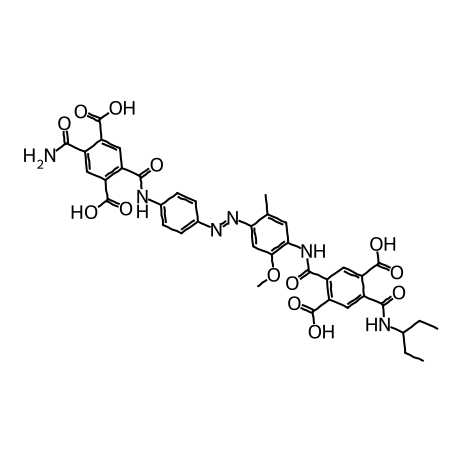 CCC(CC)NC(=O)c1cc(C(=O)O)c(C(=O)Nc2cc(C)c(/N=N/c3ccc(NC(=O)c4cc(C(=O)O)c(C(N)=O)cc4C(=O)O)cc3)cc2OC)cc1C(=O)O